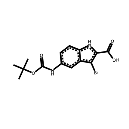 CC(C)(C)OC(=O)Nc1ccc2[nH]c(C(=O)O)c(Br)c2c1